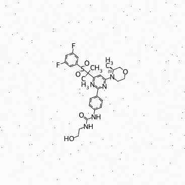 C[C@H]1COCCN1c1cc(C(C)(C)S(=O)(=O)c2cc(F)cc(F)c2)nc(-c2ccc(NC(=O)NCCO)cc2)n1